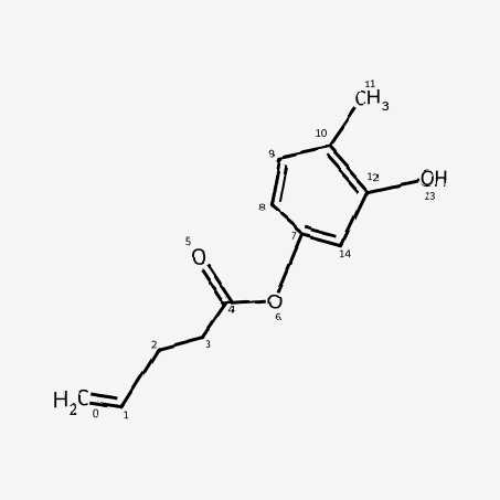 C=CCCC(=O)Oc1ccc(C)c(O)c1